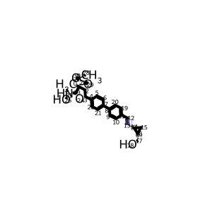 CC(CCc1ccc(-c2ccc(/C=C/[C@@H]3C[C@@H]3CO)cc2)cc1)(C(=O)NO)S(C)(=O)=O